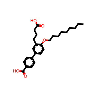 CCCCCCCCCOc1ccc(-c2ccc(C(=O)O)cc2)cc1CCCC(=O)O